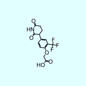 O=C(O)COc1ccc(C2CCC(=O)NC2=O)cc1C(F)(F)F